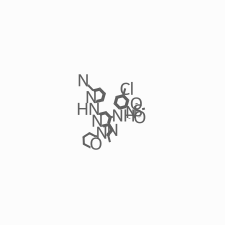 Cc1nc2c(Nc3ccc(Cl)cc3N(C)S(C)(=O)=O)cc(Nc3cccc(C#N)n3)nc2n1C1CCCCO1